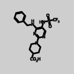 O=C(O)C1CCN(c2ncc(NS(=O)(=O)C(F)(F)F)c(NCc3ccccc3)n2)CC1